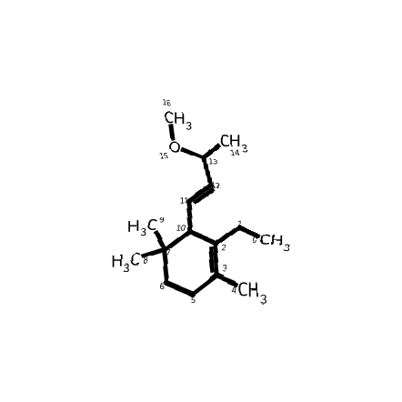 CCC1=C(C)CCC(C)(C)C1/C=C/C(C)OC